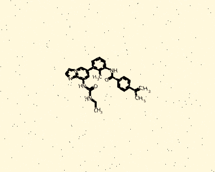 C=C(C)c1ccc(C(=O)Nc2cccc(-c3cc(NC(=O)NCC)c4nccn4c3)c2C)cc1